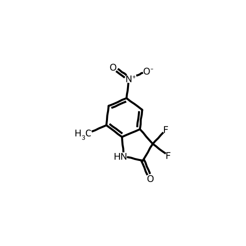 Cc1cc([N+](=O)[O-])cc2c1NC(=O)C2(F)F